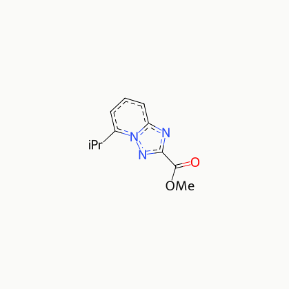 COC(=O)c1nc2cccc(C(C)C)n2n1